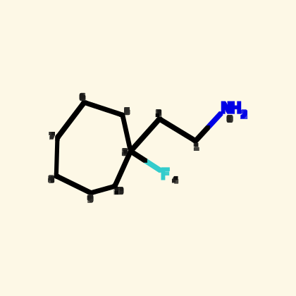 NCCC1(F)CCCCCC1